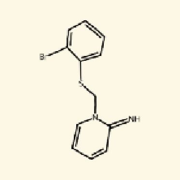 N=c1ccccn1CSc1ccccc1Br